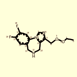 CCOOCc1ncn2c1CNCc1cc(F)c(F)cc1-2